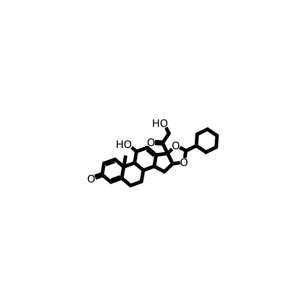 CC12C=CC(=O)C=C1CCC1C3CC4OC(C5CCCCC5)OC4(C(=O)CO)C3=CC(O)C12